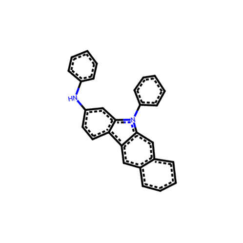 c1ccc(Nc2ccc3c4cc5ccccc5cc4n(-c4ccccc4)c3c2)cc1